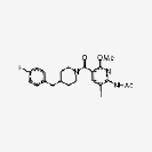 COc1nc(NC(C)=O)c(I)cc1C(=O)N1CCC(Cc2ccc(F)cc2)CC1